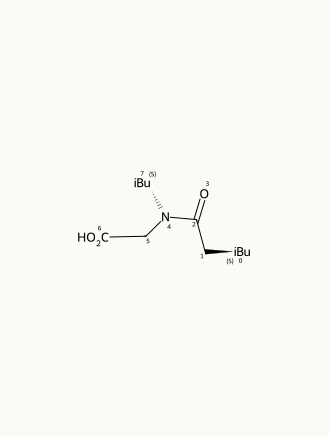 CC[C@H](C)CC(=O)N(CC(=O)O)[C@@H](C)CC